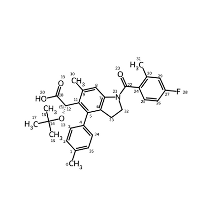 Cc1ccc(-c2c3c(cc(C)c2[C@H](OC(C)(C)C)C(=O)O)N(C(=O)c2ccc(F)cc2C)CC3)cc1